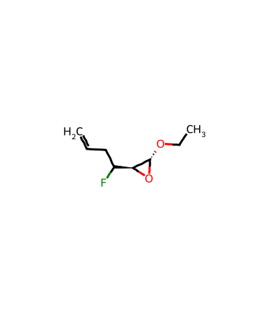 C=CCC(F)[C@@H]1O[C@H]1OCC